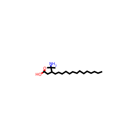 CCCCCCCCCCCCCCC(CC(=O)O)C(C)(C)N